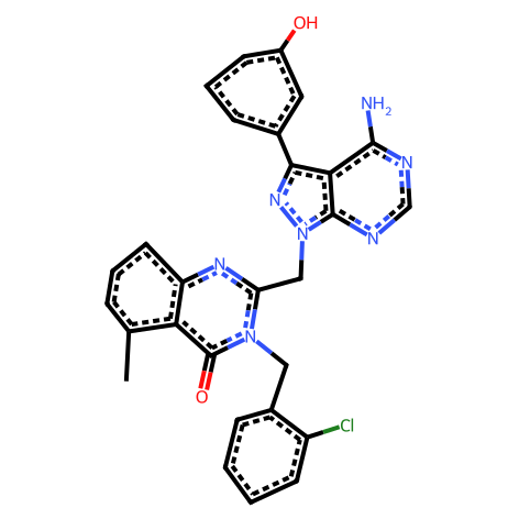 Cc1cccc2nc(Cn3nc(-c4cccc(O)c4)c4c(N)ncnc43)n(Cc3ccccc3Cl)c(=O)c12